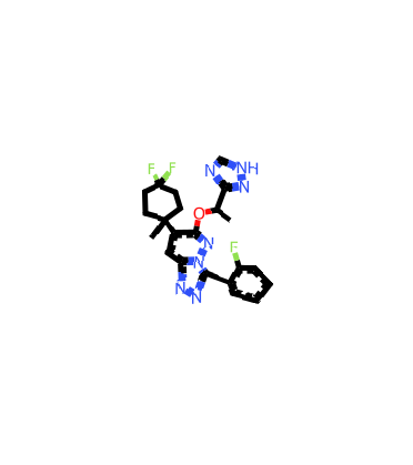 CC(Oc1nn2c(-c3ccccc3F)nnc2cc1C1(C)CCC(F)(F)CC1)c1nc[nH]n1